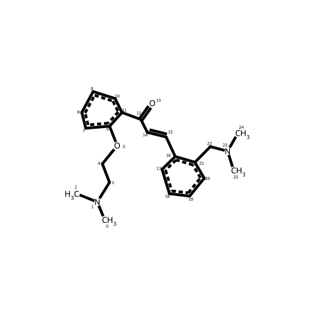 CN(C)CCOc1ccccc1C(=O)C=Cc1ccccc1CN(C)C